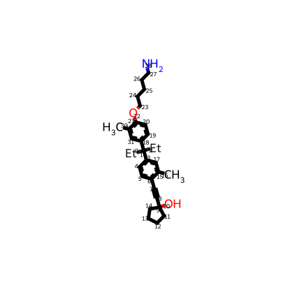 CCC(CC)(c1ccc(C#CC2(O)CCCC2)c(C)c1)c1ccc(OCCCCCN)c(C)c1